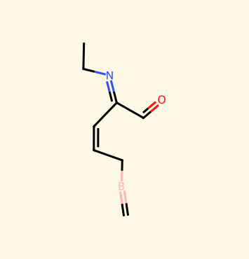 C=BC/C=C\C(C=O)=N/CC